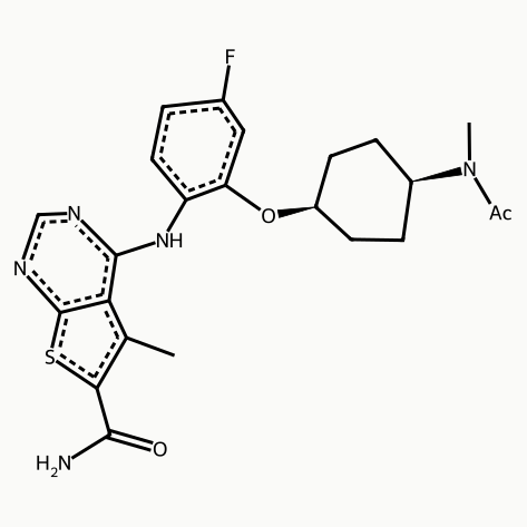 CC(=O)N(C)[C@H]1CC[C@@H](Oc2cc(F)ccc2Nc2ncnc3sc(C(N)=O)c(C)c23)CC1